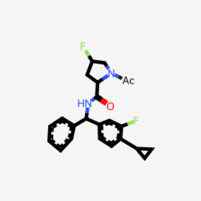 CC(=O)N1CC(F)CC1C(=O)NC(c1ccccc1)c1ccc(C2CC2)c(F)c1